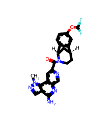 Cn1ncc2c(N)nc3cnc(C(=O)N4CC[C@H]5C[C@@H]4c4ccc(OC(F)F)cc45)cc3c21